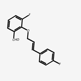 O=Cc1cccc(F)c1OCC=Cc1ccc(F)cc1